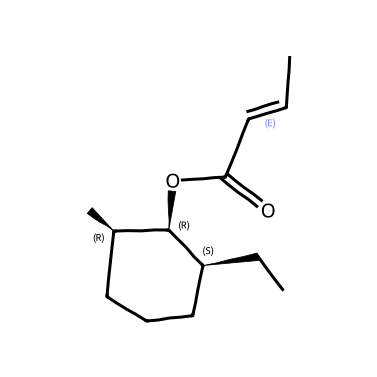 C/C=C/C(=O)O[C@H]1[C@@H](CC)CCC[C@H]1C